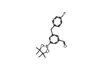 CC1(C)OB(c2cc(C=O)cc(Cc3ccc(F)cc3)c2)OC1(C)C